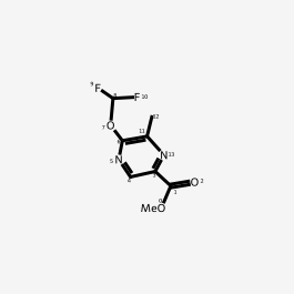 COC(=O)c1cnc(OC(F)F)c(C)n1